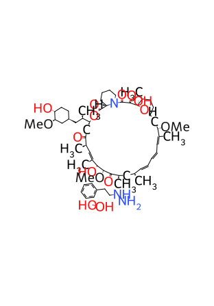 CO[C@H]1C[C@@H]2CC[C@@H](C)[C@@](O)(O2)C(=O)C(=O)N2CCCC[C@H]2C(=O)O[C@H]([C@H](C)C[C@@H]2CC[C@@H](O)[C@H](OC)C2)CC(=O)[C@H](C)/C=C(\C)[C@@H](O)[C@@H](OC)C(=O)[C@H](C)C[C@H](C)/C=C/C=C/C=C/1C.NNCCc1ccccc1.OO